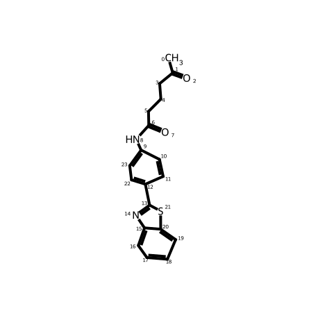 CC(=O)CCCC(=O)Nc1ccc(-c2nc3ccccc3s2)cc1